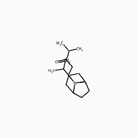 CC(C)C(=O)CCN1C2CCC1CN(C(C)C)C2